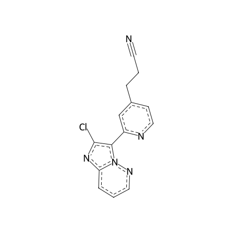 N#CCCc1ccnc(-c2c(Cl)nc3cccnn23)c1